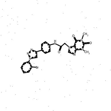 Cn1c(=O)c2c(ncn2CC(=O)Nc2ccc(-c3cn(-c4ccccc4Br)nn3)cc2)n(C)c1=O